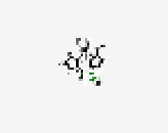 CCC1=[C]([Zr]([C]2=C(CC)C=CC2)[SiH](C)C)CC=C1.Cl.Cl